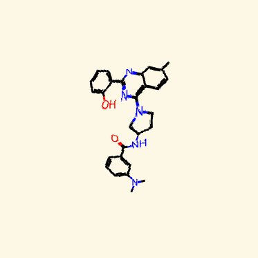 Cc1ccc2c(N3CC[C@@H](NC(=O)c4cccc(N(C)C)c4)C3)nc(-c3ccccc3O)nc2c1